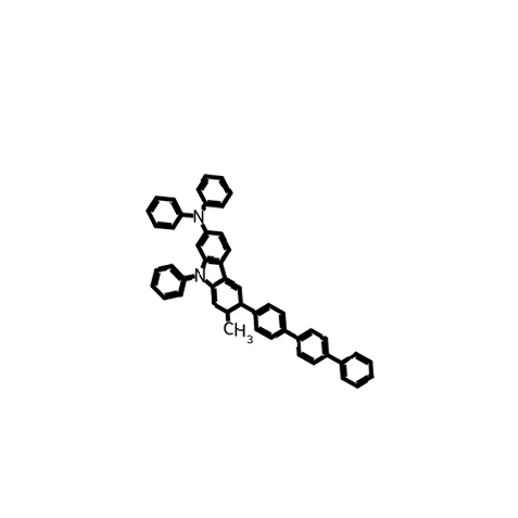 CC1C=c2c(c3ccc(N(c4ccccc4)c4ccccc4)cc3n2-c2ccccc2)=CC1c1ccc(-c2ccc(-c3ccccc3)cc2)cc1